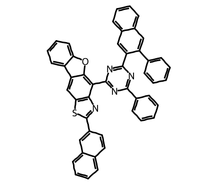 c1ccc(-c2nc(-c3cc4ccccc4cc3-c3ccccc3)nc(-c3c4nc(-c5ccc6ccccc6c5)sc4cc4c3oc3ccccc34)n2)cc1